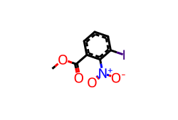 COC(=O)c1cccc(I)c1[N+](=O)[O-]